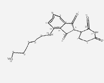 O=C1CCC(N2C(=O)c3cccc(NCCCCCO)c3C2=O)C(=O)N1